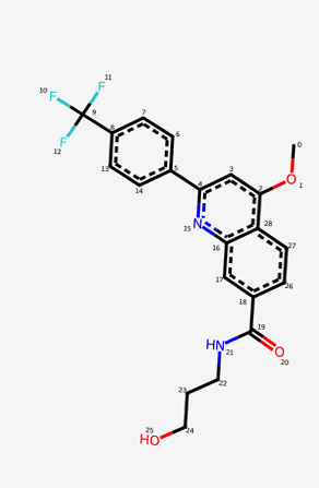 COc1cc(-c2ccc(C(F)(F)F)cc2)nc2cc(C(=O)NCCCO)ccc12